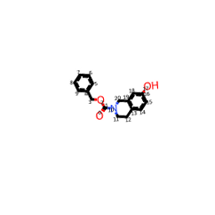 O=C(OCc1ccccc1)N1CCc2ccc(O)cc2C1